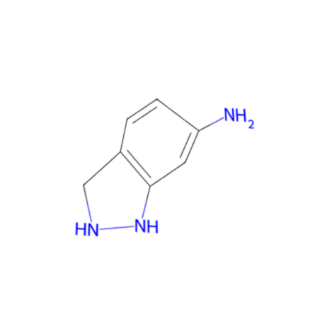 Nc1ccc2c(c1)NNC2